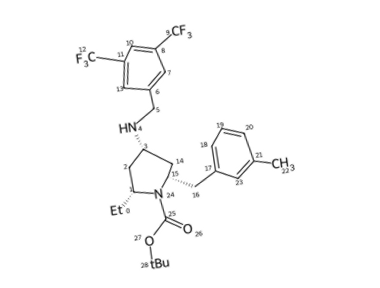 CC[C@@H]1C[C@H](NCc2cc(C(F)(F)F)cc(C(F)(F)F)c2)C[C@H](Cc2cccc(C)c2)N1C(=O)OC(C)(C)C